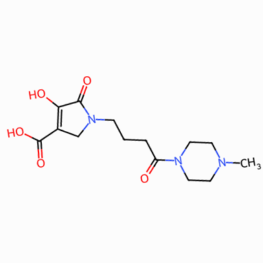 CN1CCN(C(=O)CCCN2CC(C(=O)O)=C(O)C2=O)CC1